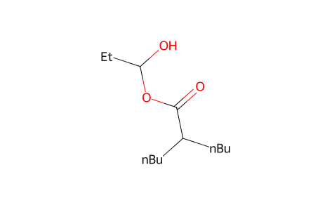 CCCCC(CCCC)C(=O)OC(O)CC